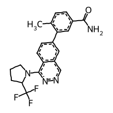 Cc1ccc(C(N)=O)cc1-c1ccc2c(N3CCCC3C(F)(F)F)nncc2c1